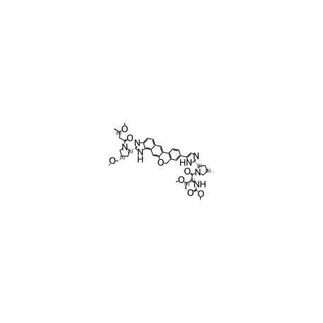 COC[C@H]1C[C@@H](c2nc3ccc4cc5c(cc4c3[nH]2)OCc2cc(-c3cnc([C@@H]4C[C@H](C)CN4C(=O)[C@@H](NC(=O)OC)[C@@H](C)OC)[nH]3)ccc2-5)N(C(=O)C[C@@H](C)OC)C1